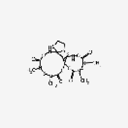 CN1SN(C)C(=O)OC2(CC3(NOC1=O)SCCS3)OC(=O)N(C)SN(C)C(=O)ONC21SCCS1